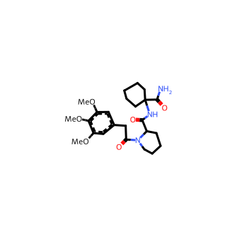 COc1cc(CC(=O)N2CCCCC2C(=O)NC2(C(N)=O)CCCCC2)cc(OC)c1OC